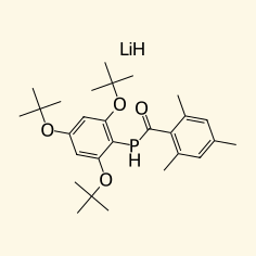 Cc1cc(C)c(C(=O)Pc2c(OC(C)(C)C)cc(OC(C)(C)C)cc2OC(C)(C)C)c(C)c1.[LiH]